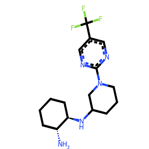 N[C@@H]1CCCC[C@H]1NC1CCCN(c2ncc(C(F)(F)F)cn2)C1